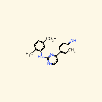 C/C=C(\C=C/C=N)c1ccnc(Nc2cc(C(=O)O)ccc2C)n1